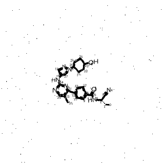 CC[C@@H](C#N)NC(=O)c1ccc(-c2nc(Nc3cnn(C4CCC(O)CC4)c3)ncc2C)cc1